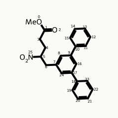 COC(=O)CCC(Cc1cc(-c2ccccc2)cc(-c2ccccc2)c1)[N+](=O)[O-]